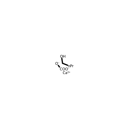 O=C([O-])[O-].[CH2]CCCO.[Ca+2]